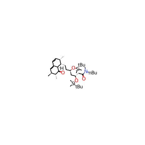 CCCCN(C)C(=O)C[C@@H](C[C@@H](CC[C@@H]1[C@H]2C(=O)[C@H](C)[C@@H](C)C=C2C=C[C@@H]1C)O[Si](C)(C)C(C)(C)C)O[Si](C)(C)C(C)(C)C